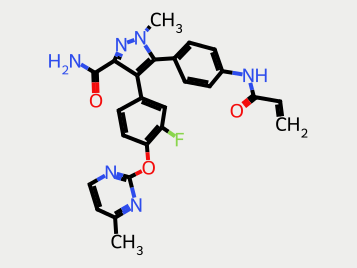 C=CC(=O)Nc1ccc(-c2c(-c3ccc(Oc4nccc(C)n4)c(F)c3)c(C(N)=O)nn2C)cc1